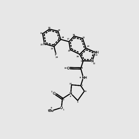 CC(C)(C)OC(=O)N1CCC(NC(=O)c2n[nH]c3ccc(-c4cccnc4F)cc23)C1